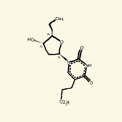 O=C(O)CCc1cn([C@H]2C[C@H](O)[C@@H](CO)O2)c(=O)[nH]c1=O